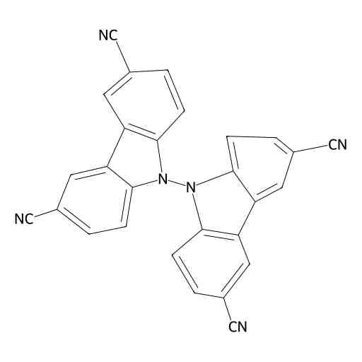 N#Cc1ccc2c(c1)c1cc(C#N)ccc1n2-n1c2ccc(C#N)cc2c2cc(C#N)ccc21